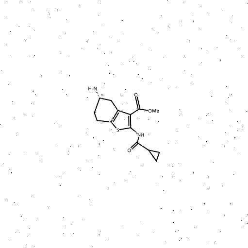 COC(=O)c1c(NC(=O)C2CC2)sc2c1C[C@@H](N)CC2